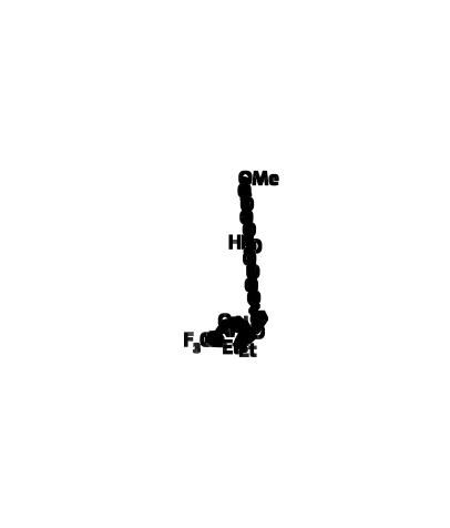 CCN(CC)c1ccc(NC(=O)c2cccc(CCCOCCOCCOCCOCCC(=O)NCCOCCOCCOCCOCCOC)c2)c(-c2cc(C(=O)NCc3cccc(C(F)(F)F)c3)ccn2)c1